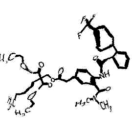 CCCCC(COC(=O)Cc1ccc(NC(=O)c2ccccc2-c2ccc(C(F)(F)F)cc2)c(C(=O)N(C)C)c1)(C(=O)OCC)C(=O)OCC